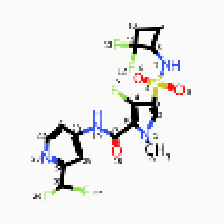 Cn1cc(S(=O)(=O)NC2CCC2(F)F)c(F)c1C(=O)Nc1ccnc(C(F)F)c1